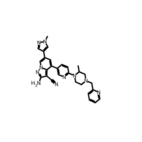 CC1CN(Cc2ccccn2)CCN1c1ccc(-c2cc(-c3cnn(C)c3)cn3nc(N)c(C#N)c23)cn1